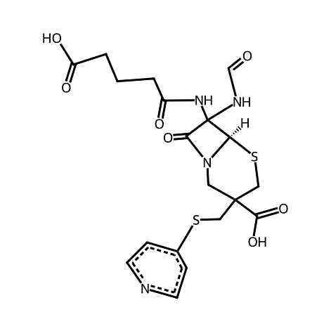 O=CNC1(NC(=O)CCCC(=O)O)C(=O)N2CC(CSc3ccncc3)(C(=O)O)CS[C@@H]21